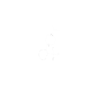 CC(C)N1CCN(c2ccccc2C(F)(F)F)CC1